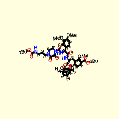 COc1ccc(C(NC(=O)N2CCN(CCCNC(=O)OC(C)(C)C)C(=O)C2=O)C(=O)N[C@@H](Cc2cccc(C(=O)OC(C)(C)C)c2OC)B2O[C@@H]3C[C@@H]4C[C@@H](C4(C)C)[C@]3(C)O2)c(Cl)c1OC